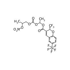 CC(COC(=O)OC(C)OC(=O)C1=Cc2cc(S(F)(F)(F)(F)F)ccc2O[C@@H]1C(F)(F)F)O[N+](=O)[O-]